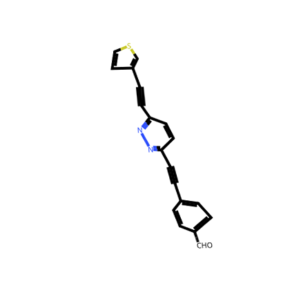 O=Cc1ccc(C#Cc2ccc(C#Cc3ccsc3)nn2)cc1